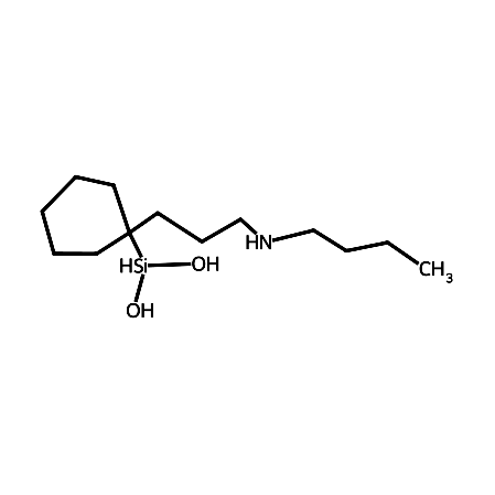 CCCCNCCCC1([SiH](O)O)CCCCC1